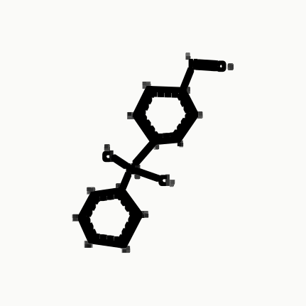 O=Nc1ccc([N+](Cl)(Cl)c2ccccc2)cc1